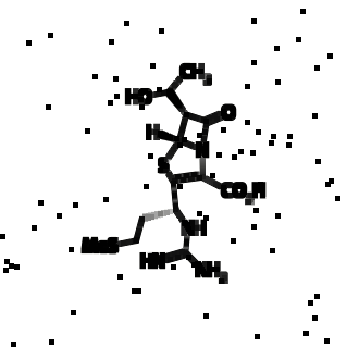 CSCC[C@@H](NC(=N)N)C1=C(C(=O)O)N2C(=O)[C@H](C(C)O)[C@H]2S1